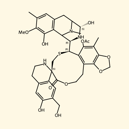 COc1c(C)cc2c(c1O)C1[C@H]([C@@H]3SC[C@@]4(NCCc5cc(O)c(CO)cc54)C(=O)OCCc4c5c(c(C)c(OC(C)=O)c43)OCO5)N[C@@H](O)C(C2)N1C